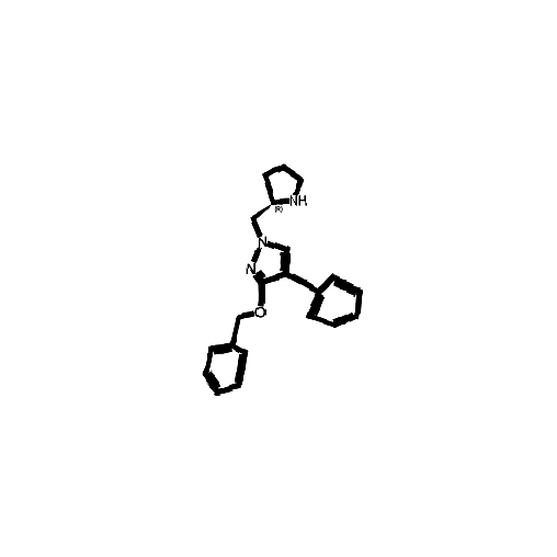 c1ccc(COc2nn(C[C@H]3CCCN3)cc2-c2ccccc2)cc1